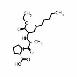 CCCCCSCC(N[C@H](C)C(=O)N1CCC[C@H]1C(=O)O)C(=O)OCC